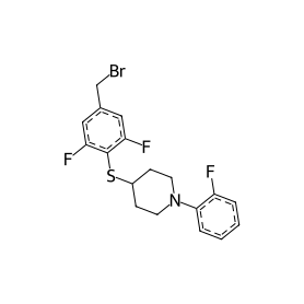 Fc1ccccc1N1CCC(Sc2c(F)cc(CBr)cc2F)CC1